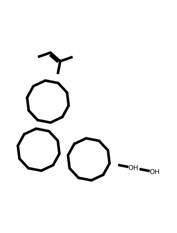 C1CCCCCCCCC1.C1CCCCCCCCC1.C1CCCCCCCCC1.CC=C(C)C.CO.CO